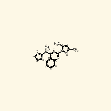 Cc1cc(C)n(-c2nc(N(C)c3cccs3)c3ccccc3n2)n1